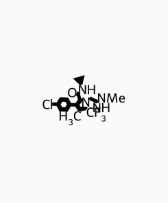 CNC(=N)Cn1c(C(=O)NC2CC2)c(-c2ccc(Cl)cc2)c(C)c1C(F)(F)F